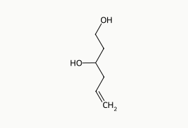 C=CCC(O)CCO